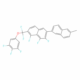 Cc1ccc2cc(-c3cc4ccc(C(F)(F)Oc5cc(F)c(F)c(F)c5)c(F)c4c(F)c3F)ccc2c1